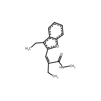 CCC(=Cc1oc2ccccc2c1CC)C(=O)NC